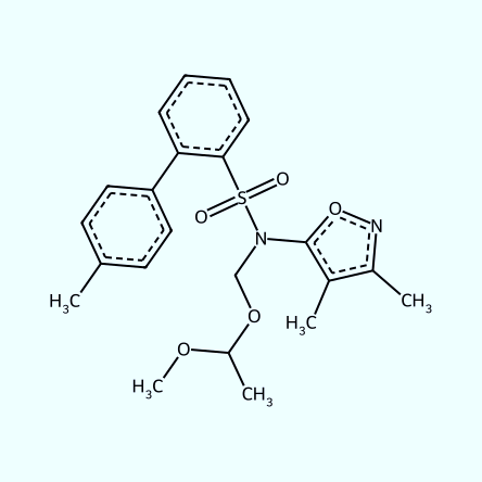 COC(C)OCN(c1onc(C)c1C)S(=O)(=O)c1ccccc1-c1ccc(C)cc1